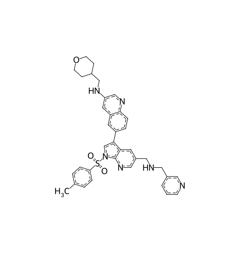 Cc1ccc(S(=O)(=O)n2cc(-c3ccc4ncc(NCC5CCOCC5)cc4c3)c3cc(CNCc4cccnc4)cnc32)cc1